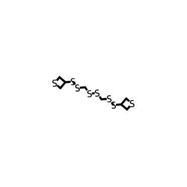 C(SSCSSC1CSC1)SSC1CSC1